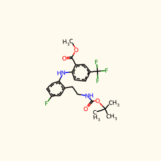 COC(=O)c1cc(C(F)(F)F)ccc1Nc1ccc(F)cc1CCNC(=O)OC(C)(C)C